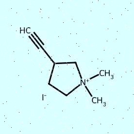 C#CC1CC[N+](C)(C)C1.[I-]